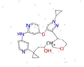 CC(O)CC1(c2cc(Nc3cc(Oc4cn(C5CC5)nc4C4CCOCC4)ccn3)ccn2)CC1